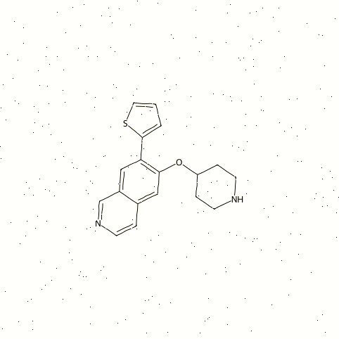 c1csc(-c2cc3cnccc3cc2OC2CCNCC2)c1